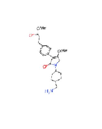 COC(=O)CCc1ccc(C2=C(OC)CN(C3CCC(CN)CC3)C2=O)cc1